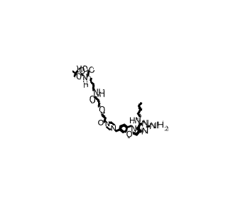 CCCCCNc1nc(N)nc2ccn(Cc3ccc(CN4CCN(C(=O)CCOCCC(=O)NCCCC[C@H](NC(=O)OC(C)(C)C)C(=O)O)CC4)cc3OC)c12